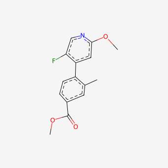 COC(=O)c1ccc(-c2cc(OC)ncc2F)c(C)c1